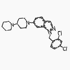 Clc1ccc(Cn2ncc3ccc(N4CCC(N5CCCCC5)CC4)cc32)c(Cl)c1